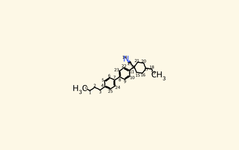 CCCCc1ccc(-c2ccc(C3(C#N)CCC(CC)CC3)cc2)cc1